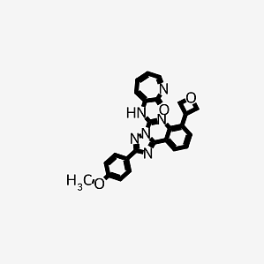 COc1ccc(-c2nc3c4cccc(C5COC5)c4nc(Nc4ccccnc4=O)n3n2)cc1